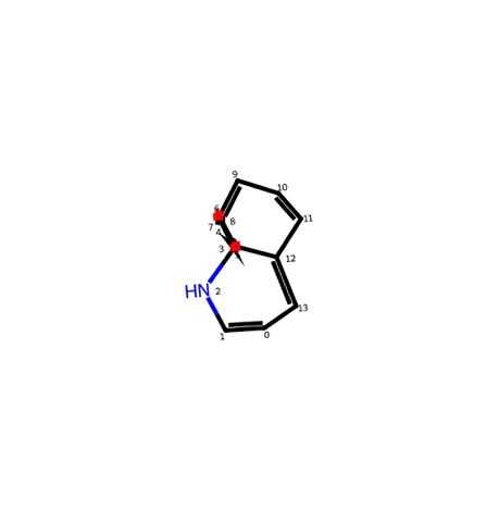 C1=CNC23C=CC=CC2=CC=CC3=C1